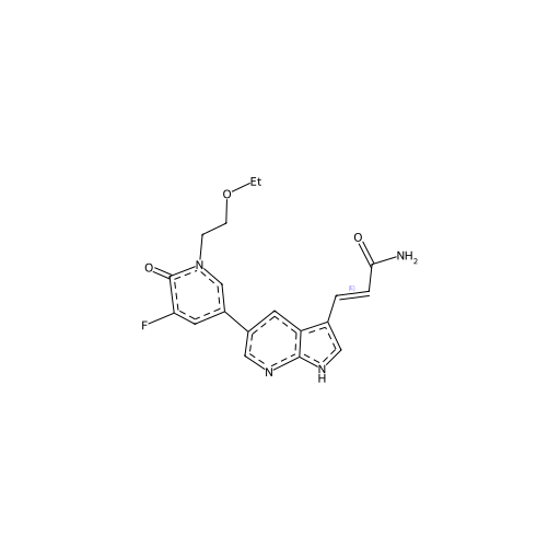 CCOCCn1cc(-c2cnc3[nH]cc(/C=C/C(N)=O)c3c2)cc(F)c1=O